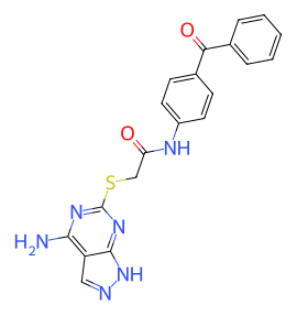 Nc1nc(SCC(=O)Nc2ccc(C(=O)c3ccccc3)cc2)nc2[nH]ncc12